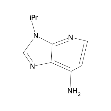 CC(C)n1cnc2c(N)ccnc21